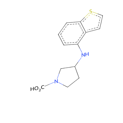 O=C(O)N1CCC(Nc2cccc3sccc23)C1